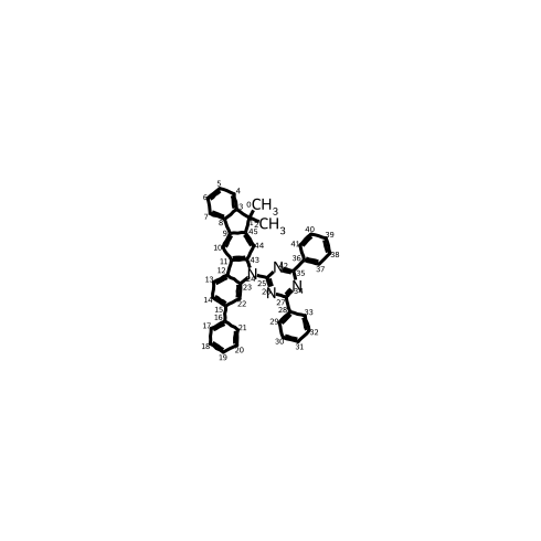 CC1(C)c2ccccc2-c2cc3c4ccc(-c5ccccc5)cc4n(-c4nc(-c5ccccc5)nc(-c5ccccc5)n4)c3cc21